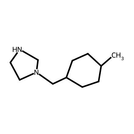 CC1CCC(CN2CCNC2)CC1